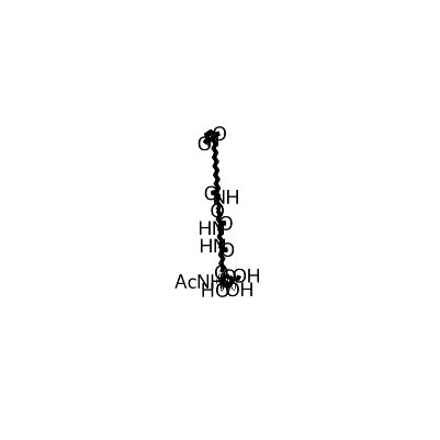 CC(=O)N[C@H]1[C@H](OCCCCC(=O)NCCCNC(=O)CCOCCNC(=O)CCCCCCCCCCCN2C(=O)C=CC2=O)O[C@H](CO)[C@H](O)[C@@H]1O